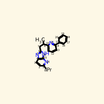 CC(C)c1ccc2nc(CC(C)c3cccc(-c4ccccc4)n3)[nH]c2n1